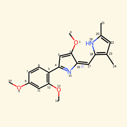 COC1=CC(c2ccc(OC)cc2OC)=N/C1=C/c1[nH]c(C)cc1C